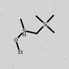 CCO[SiH](C)C[Si](C)(C)C